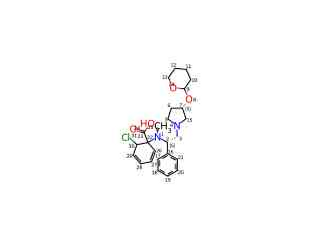 CN([C@H](CN1CC[C@H](OC2CCCCO2)C1)c1ccccc1)C1(C(=O)O)C=CC=CC1Cl